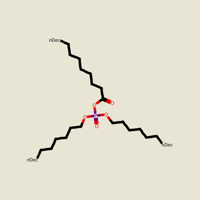 CCCCCCCCCCCCCCCCCC(=O)OP(=O)(OCCCCCCCCCCCCCCCC)OCCCCCCCCCCCCCCCC